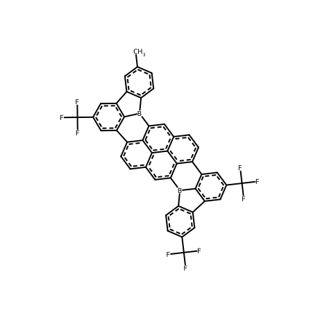 Cc1ccc2c(c1)-c1cc(C(F)(F)F)cc3c1B2c1cc2ccc4c5c(cc6ccc-3c1c6c25)B1c2ccc(C(F)(F)F)cc2-c2cc(C(F)(F)F)cc-4c21